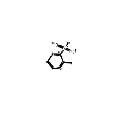 Cc1ccccc1[S@@](C)(=N)=O